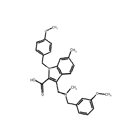 COc1ccc(Cn2c(C(=O)O)c(CN(C)Cc3cccc(OC)c3)c3ccc(C)cc32)cc1